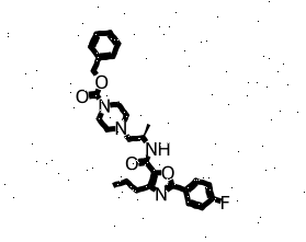 CCCc1nc(-c2ccc(F)cc2)oc1C(=O)N[C@H](C)CN1CCN(C(=O)OCc2ccccc2)CC1